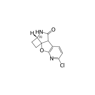 O=C1N[C@H]2CCC23Oc2nc(Cl)ccc2C13